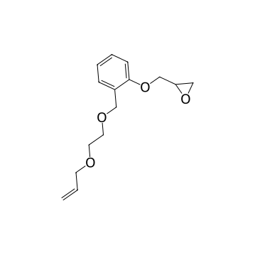 C=CCOCCOCc1ccccc1OCC1CO1